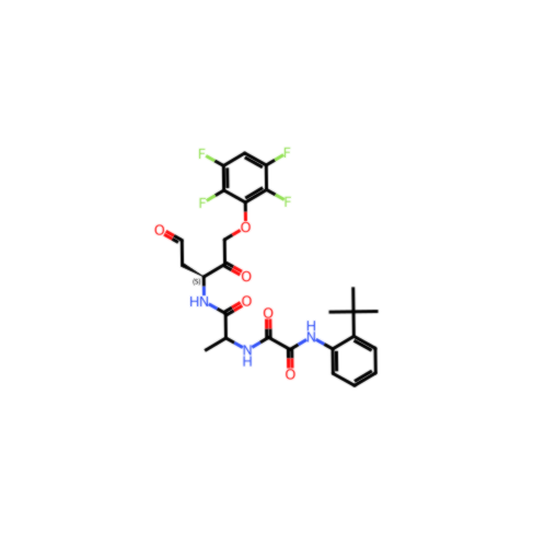 CC(NC(=O)C(=O)Nc1ccccc1C(C)(C)C)C(=O)N[C@@H](CC=O)C(=O)COc1c(F)c(F)cc(F)c1F